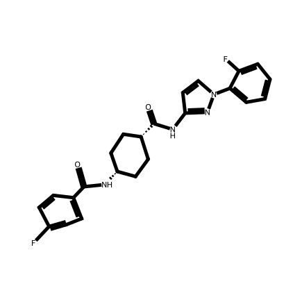 O=C(N[C@H]1CC[C@@H](C(=O)Nc2ccn(-c3ccccc3F)n2)CC1)c1ccc(F)cc1